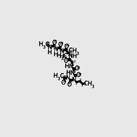 CCCCN(C(=O)NC(C)=O)C(=O)NC(=O)NCC(=O)NC(C)(C)C(=O)NC(=O)NC(=O)NC